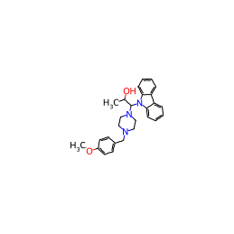 COc1ccc(CN2CCN(C(C(C)O)n3c4ccccc4c4ccccc43)CC2)cc1